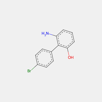 Nc1cccc(O)c1-c1ccc(Br)cc1